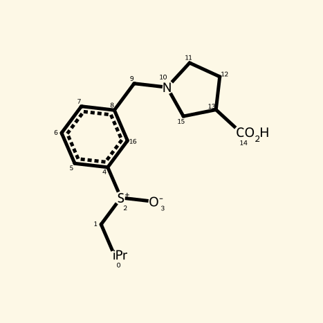 CC(C)C[S+]([O-])c1cccc(CN2CCC(C(=O)O)C2)c1